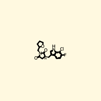 O=C1C[C@H](Cc2c[nH]c3c(Cl)c(F)ccc23)C(=O)N1CC1CCCO1